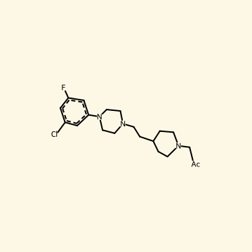 CC(=O)CN1CCC(CCN2CCN(c3cc(F)cc(Cl)c3)CC2)CC1